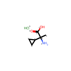 CC(N)(C(=O)O)C1CC1.Cl